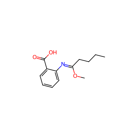 CCCC/C(=N/c1ccccc1C(=O)O)OC